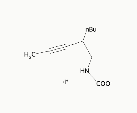 CC#CC(CCCC)CNC(=O)[O-].[I+]